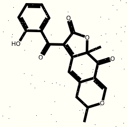 CC1CC2=CC3=C(C(=O)c4ccccc4O)C(=O)OC3(C)C(=O)C2=CO1